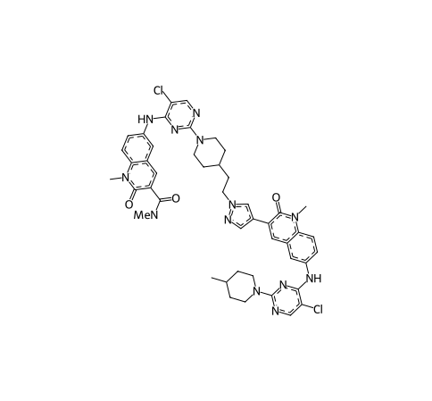 CNC(=O)c1cc2cc(Nc3nc(N4CCC(CCn5cc(-c6cc7cc(Nc8nc(N9CCC(C)CC9)ncc8Cl)ccc7n(C)c6=O)cn5)CC4)ncc3Cl)ccc2n(C)c1=O